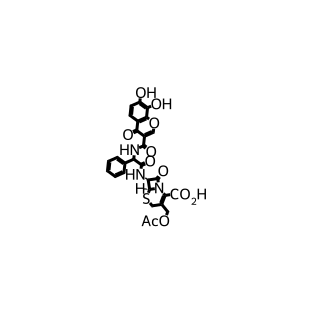 CC(=O)OCC1=C(C(=O)O)N2C(=O)[C@@H](NC(=O)C(NC(=O)c3coc4c(O)c(O)ccc4c3=O)c3ccccc3)[C@@H]2SC1